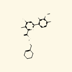 COc1c(Cl)ccc(-c2cc(N)c(Cl)c(C(=O)NOCC3=CCCCC3)n2)c1F